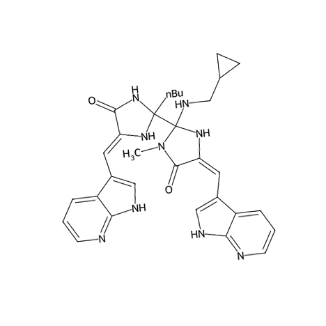 CCCCC1(C2(NCC3CC3)NC(=Cc3c[nH]c4ncccc34)C(=O)N2C)NC(=O)C(=Cc2c[nH]c3ncccc23)N1